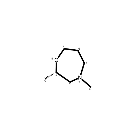 C[C@H]1CN(C)CCCO1